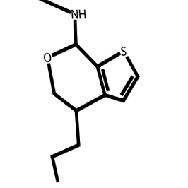 CCCC1COC(NC)c2sccc21